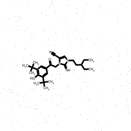 CCC(CC)CCn1cc(C#N)n(CC(=O)c2cc(C(C)(C)C)c(O)c(C(C)(C)C)c2)c1=N